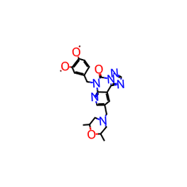 COc1ccc(Cn2c(=O)n3ncnc3c3cc(CN4CC(C)OC(C)C4)cnc32)cc1OC